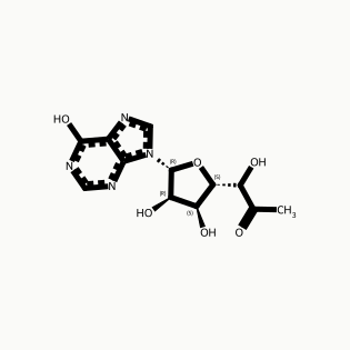 CC(=O)C(O)[C@H]1O[C@@H](n2cnc3c(O)ncnc32)[C@H](O)[C@@H]1O